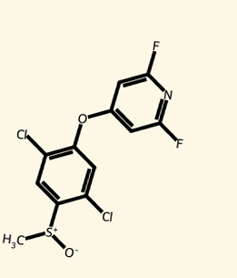 C[S+]([O-])c1cc(Cl)c(Oc2cc(F)nc(F)c2)cc1Cl